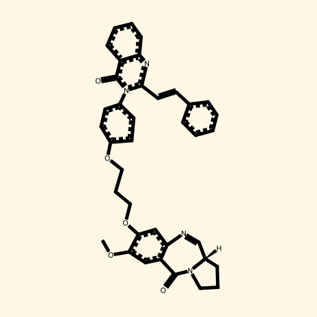 COc1cc2c(cc1OCCCOc1ccc(-n3c(/C=C/c4ccccc4)nc4ccccc4c3=O)cc1)N=C[C@@H]1CCCN1C2=O